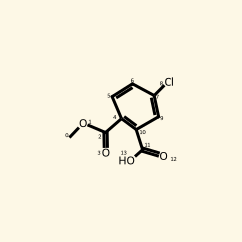 COC(=O)c1ccc(Cl)cc1C(=O)O